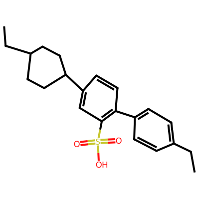 CCc1ccc(-c2ccc(C3CCC(CC)CC3)cc2S(=O)(=O)O)cc1